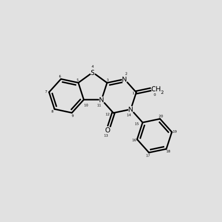 C=C1N=C2Sc3ccccc3N2C(=O)N1c1ccccc1